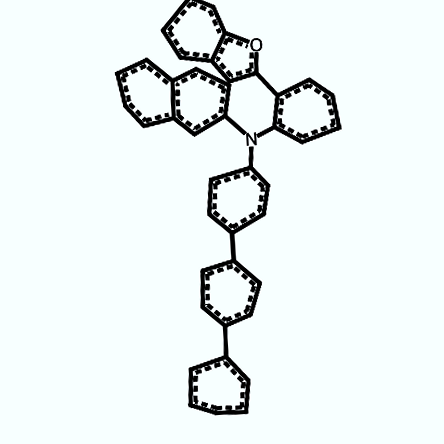 c1ccc(-c2ccc(-c3ccc(N(c4ccc5ccccc5c4)c4ccccc4-c4cc5ccccc5o4)cc3)cc2)cc1